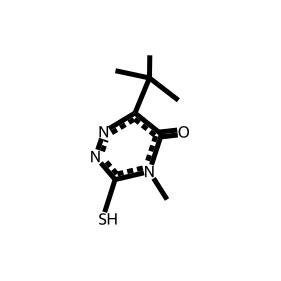 Cn1c(S)nnc(C(C)(C)C)c1=O